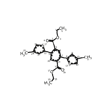 CCOC(=O)c1cc(-c2cc(C)cs2)c(C(=O)OCC)cc1-c1cc(C)cs1